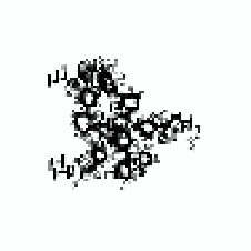 CC(C)(C)c1ccc(-c2cccc3c4c(oc23)B2C3=C(C5CC=CC=C(C6=CCC(C(C)(C)C)C=C6)C5O3)N(c3ccc(C(C)(C)C)cc3)c3cc(N5c6ccccc6Sc6ccccc65)cc(c32)N4c2ccc(C(C)(C)C)cc2)cc1